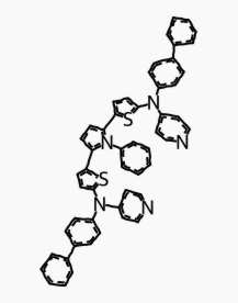 c1ccc(-c2ccc(N(c3ccncc3)c3ccc(-c4ccc(-c5ccc(N(c6ccncc6)c6ccc(-c7ccccc7)cc6)s5)n4-c4ccccc4)s3)cc2)cc1